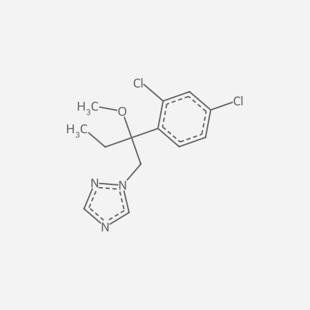 CCC(Cn1cncn1)(OC)c1ccc(Cl)cc1Cl